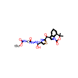 CC(C)(C)OC(=O)NCC(=O)NNC(O)c1csc(C(=O)c2cn3c4c(cccc24)C(C)(C)OC3=O)n1